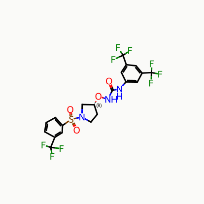 O=C(NO[C@@H]1CCN(S(=O)(=O)c2cccc(C(F)(F)F)c2)C1)Nc1cc(C(F)(F)F)cc(C(F)(F)F)c1